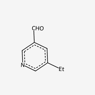 CCc1cncc(C=O)c1